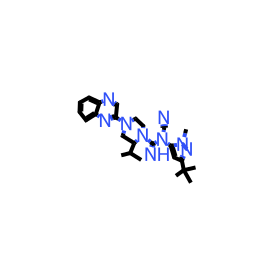 CC(C)C1CN(c2cnc3ccccc3n2)CCN1C(=N)N(C#N)c1cc(C(C)(C)C)nn1C